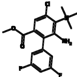 COC(=O)c1cc(Cl)c([Si](C)(C)C)c(N)c1-c1cc(F)cc(F)c1